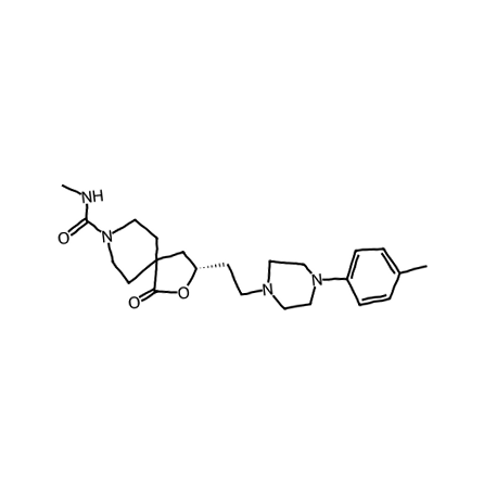 CNC(=O)N1CCC2(CC1)C[C@H](CCN1CCN(c3ccc(C)cc3)CC1)OC2=O